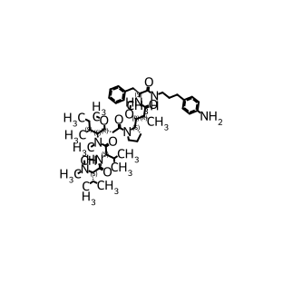 CC[C@H](C)[C@@H]([C@@H](CC(=O)N1CCC[C@H]1[C@H](OC)[C@@H](C)C(=O)N[C@@H](Cc1ccccc1)C(=O)NCCCc1ccc(N)cc1)OC)N(C)C(=O)[C@@H](NC(=O)[C@H](C(C)C)N(C)C)C(C)C